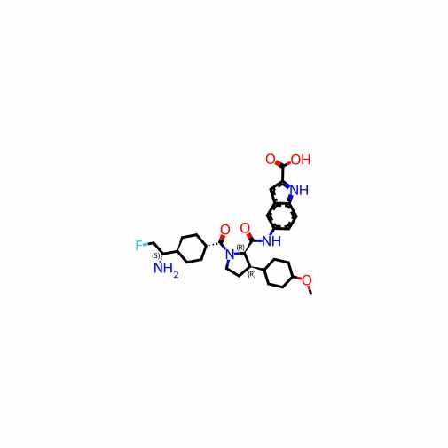 COC1CCC([C@H]2CCN(C(=O)[C@H]3CC[C@H]([C@H](N)CF)CC3)[C@H]2C(=O)Nc2ccc3[nH]c(C(=O)O)cc3c2)CC1